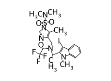 Cc1c(CN(C(=O)C(F)(F)F)C(C)c2c(I)c3ccccc3n2C)ncn1S(=O)(=O)N(C)C